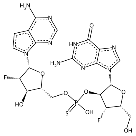 Nc1nc2c(ncn2[C@@H]2O[C@H](CO)[C@H](F)[C@H]2OP(O)(=S)OC[C@H]2O[C@@H](n3ccc4c(N)ncnc43)[C@@H](F)[C@@H]2O)c(=O)[nH]1